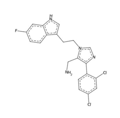 NCc1c(-c2ccc(Cl)cc2Cl)ncn1CCc1c[nH]c2cc(F)ccc12